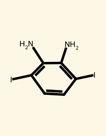 Nc1c(I)ccc(I)c1N